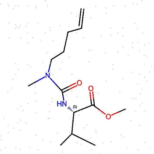 C=CCCCN(C)C(=O)N[C@H](C(=O)OC)C(C)C